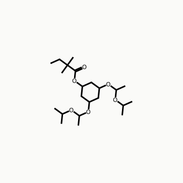 CCC(C)(C)C(=O)OC1CC(OC(C)OC(C)C)CC(OC(C)OC(C)C)C1